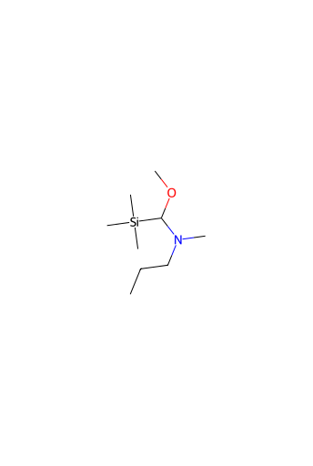 CCCN(C)C(OC)[Si](C)(C)C